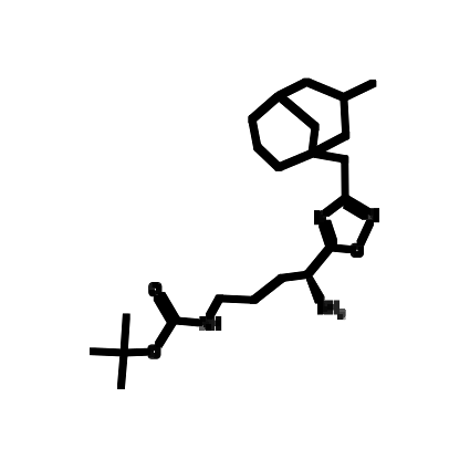 CC1CC2CCCC(Cc3noc([C@@H](N)CCCNC(=O)OC(C)(C)C)n3)(C1)C2